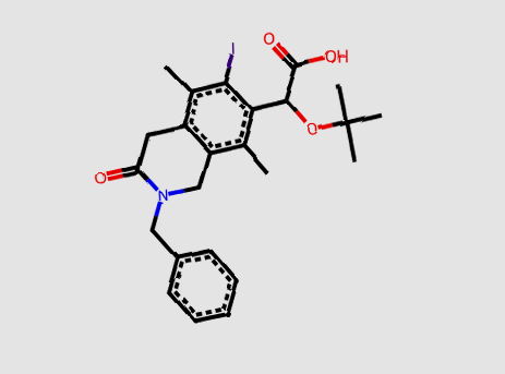 Cc1c(I)c(C(OC(C)(C)C)C(=O)O)c(C)c2c1CC(=O)N(Cc1ccccc1)C2